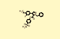 COc1ccc(-c2cnn(Cc3ccccc3)c2C(=O)Oc2ccc(S(N)(=O)=O)cc2)cc1F